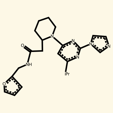 CC(C)c1cc(N2CCCCC2CC(=O)NCc2ccco2)nc(-n2ccnc2)n1